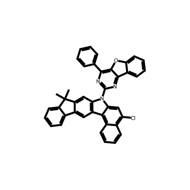 CC1(C)c2ccccc2-c2cc3c4c5ccccc5c(Cl)cc4n(-c4nc(-c5ccccc5)c5oc6ccccc6c5n4)c3cc21